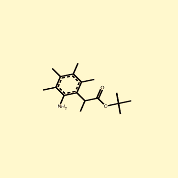 Cc1c(C)c(C)c(C(C)C(=O)OC(C)(C)C)c(N)c1C